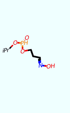 CC(C)O[PH](=O)OCCC=NO